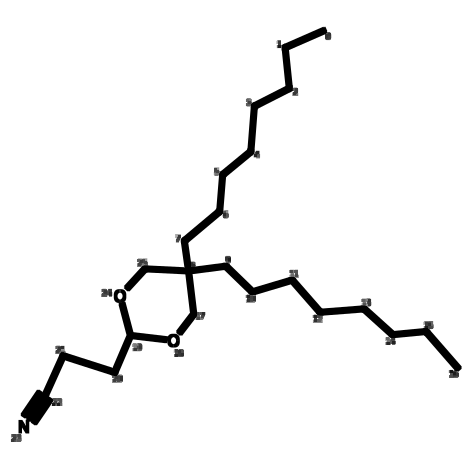 CCCCCCCCC1(CCCCCCCC)COC(CCC#N)OC1